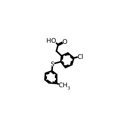 Cc1cccc(Sc2ccc(Cl)cc2CC(=O)O)c1